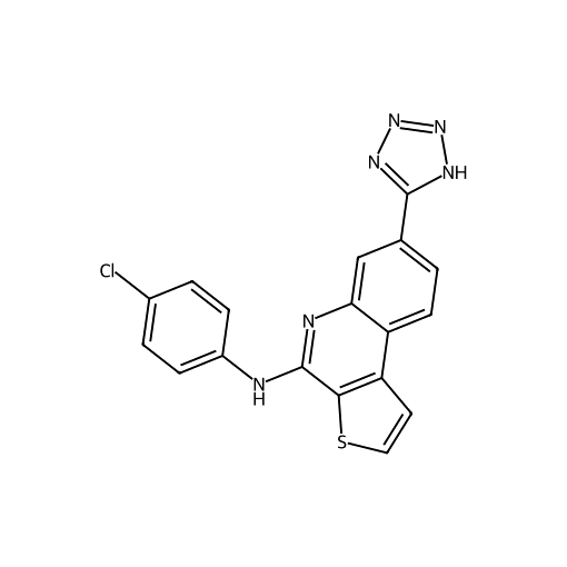 Clc1ccc(Nc2nc3cc(-c4nnn[nH]4)ccc3c3ccsc23)cc1